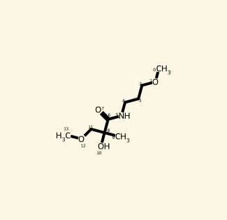 COCCCNC(=O)C(C)(O)COC